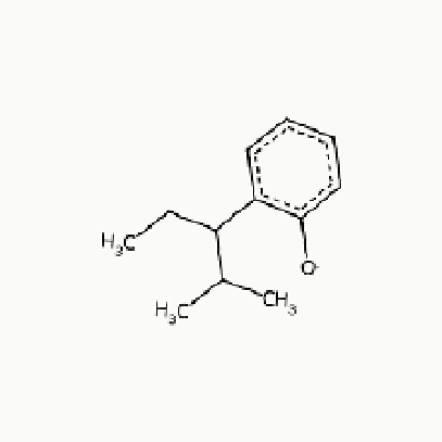 CCC(c1ccccc1[O])C(C)C